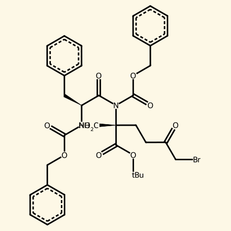 CC(C)(C)OC(=O)[C@](CCC(=O)CBr)(C(=O)O)N(C(=O)OCc1ccccc1)C(=O)[C@H](Cc1ccccc1)NC(=O)OCc1ccccc1